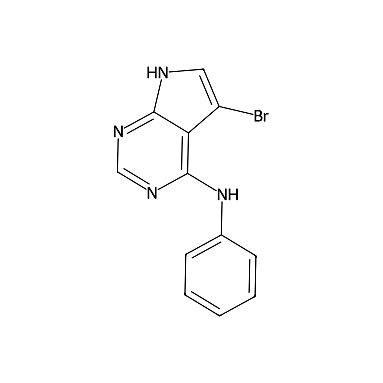 Brc1c[nH]c2ncnc(Nc3ccccc3)c12